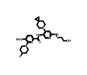 COc1ccc(C(=O)Nc2cnc(NSCCO)cc2N2CCC3(CC2)CC3)nc1N1CCC(F)CC1